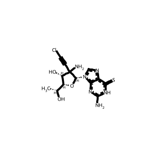 C[C@@H](O)[C@H]1O[C@@H](n2cnc3c(=S)[nH]c(N)nc32)C(N)(C#CCl)[C@H]1O